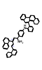 NC(/C=C(\C=C\C1=CC=CC2=CC=CCC21)c1cccc2ccccc12)c1ccc(Nc2ccccc2-c2cc3ccccc3c3ccc4c(c23)CCC=C4)cc1